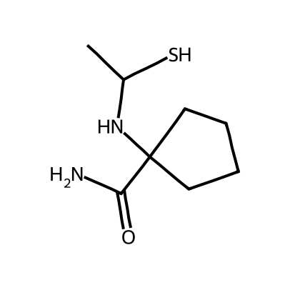 CC(S)NC1(C(N)=O)CCCC1